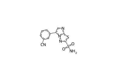 N#Cc1cccc(-c2cnc3sc(S(N)(=O)=O)nn23)c1